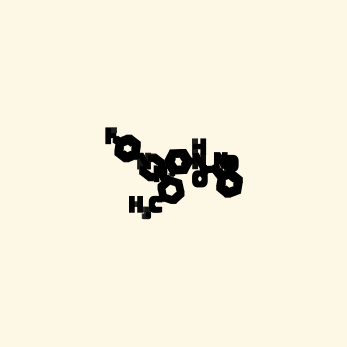 C[C@@H]1CCC[C@](c2cccc(NC(=O)c3noc4ccccc34)c2)(N2CCN(c3ccc(F)cc3)CC2)C1